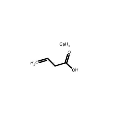 C=CCC(=O)O.[GaH3]